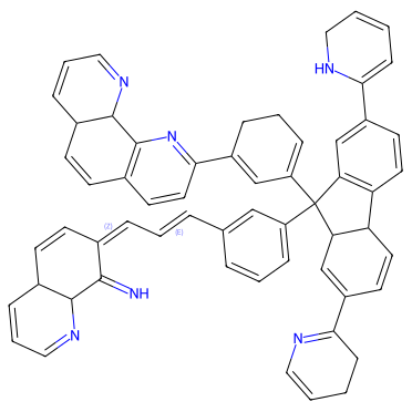 N=C1/C(=C\C=C\c2cccc(C3(C4=CCCC(c5ccc6c(n5)C5N=CC=CC5C=C6)=C4)c4cc(C5=CC=CCN5)ccc4C4C=CC(C5=NC=CCC5)=CC43)c2)C=CC2C=CC=NC12